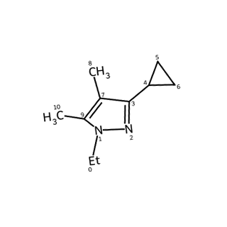 CCn1nc(C2CC2)c(C)c1C